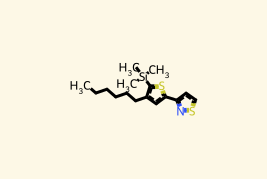 CCCCCCc1cc(-c2ccsn2)sc1[Si](C)(C)C